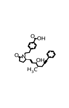 C[C@@H](CC#Cc1ccccc1)[C@H](O)C=C[C@H]1CCC(=O)N1CCc1ccc(C(=O)O)cc1